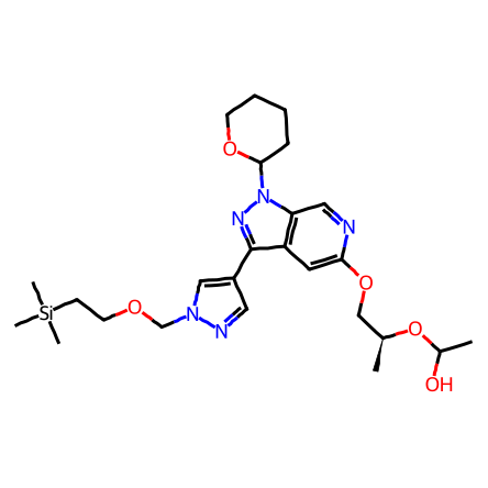 CC(O)O[C@@H](C)COc1cc2c(-c3cnn(COCC[Si](C)(C)C)c3)nn(C3CCCCO3)c2cn1